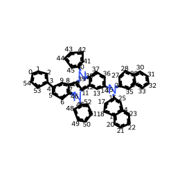 c1ccc(-c2ccc3c(c2)c2c(c4cc(N(c5ccc6ccccc6c5)c5ccc6ccccc6c5)ccc4n2-c2ccccc2)n3-c2ccccc2)cc1